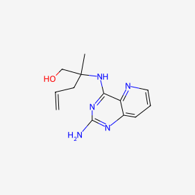 C=CCC(C)(CO)Nc1nc(N)nc2cccnc12